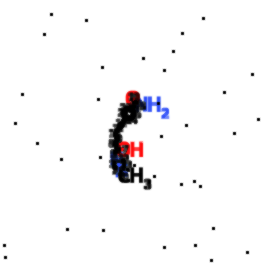 CN1CCN(C/C(O)=C/C=C/C#Cc2ccc(C(N)=O)cc2)CC1